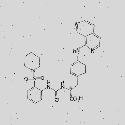 O=C(Nc1ccccc1S(=O)(=O)N1CCCCC1)N[C@@H](Cc1ccc(Nc2nccc3ccncc23)cc1)C(=O)O